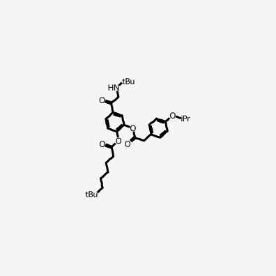 CC(C)Oc1ccc(CC(=O)Oc2cc(C(=O)CNC(C)(C)C)ccc2OC(=O)CCCCCC(C)(C)C)cc1